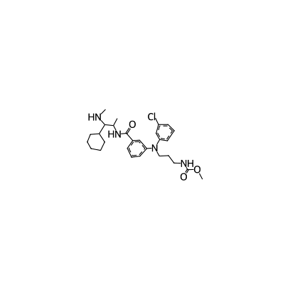 CNC(C1CCCCC1)C(C)NC(=O)c1cccc(N(CCCNC(=O)OC)c2cccc(Cl)c2)c1